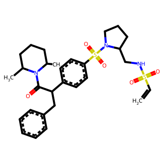 C=CS(=O)(=O)NCC1CCCN1S(=O)(=O)c1ccc(C(Cc2ccccc2)C(=O)N2C(C)CCCC2C)cc1